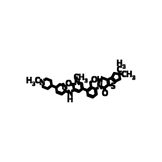 CN1CCC(C2C=CC(Nc3cc(-c4cccc(N5CCc6c(sc7c6CC(C)(C)C7)C5=O)c4CO)cn(C)c3=O)=NC2)CC1